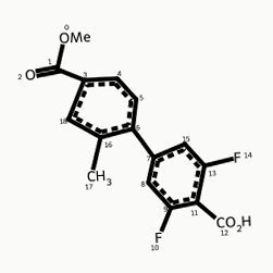 COC(=O)c1ccc(-c2cc(F)c(C(=O)O)c(F)c2)c(C)c1